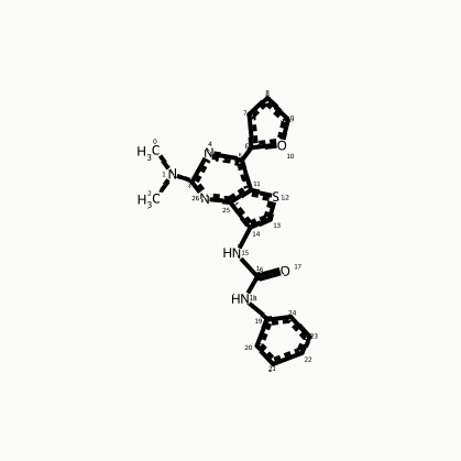 CN(C)c1nc(-c2ccco2)c2scc(NC(=O)Nc3ccccc3)c2n1